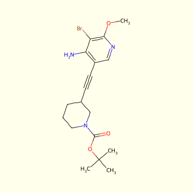 COc1ncc(C#CC2CCCN(C(=O)OC(C)(C)C)C2)c(N)c1Br